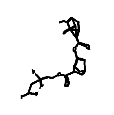 CC1C2CC3C1C3(C(=O)OC1CC3CC(C(=O)OCCC(F)(F)CC(F)F)C1C3)C2C